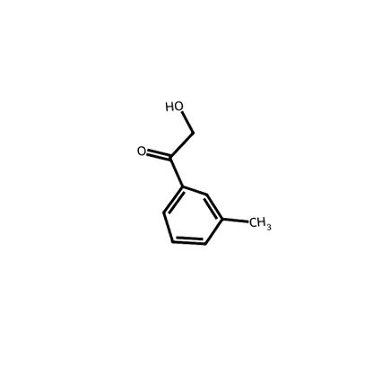 Cc1cccc(C(=O)CO)c1